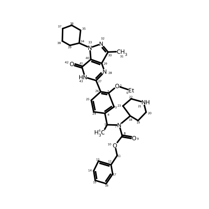 CCOc1cc(C(C)N(C(=O)OCc2ccccc2)C2CCNCC2)ccc1-c1nc2c(C)nn(C3CCCCC3)c2c(=O)[nH]1